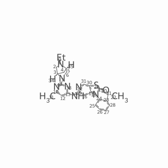 CCN1C[C@@H]2C[C@H]1CN2c1nc(C)cc(Nc2cc3nc(O[C@H](C)c4ccccc4)sc3cn2)n1